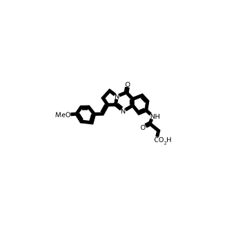 COc1ccc(/C=C2\CCn3c2nc2cc(NC(=O)CC(=O)O)ccc2c3=O)cc1